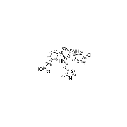 Cc1ncsc1CCNc1nc(Nc2ccc(F)c(Cl)c2)ncc1-c1cccc(C=CC(=O)O)c1